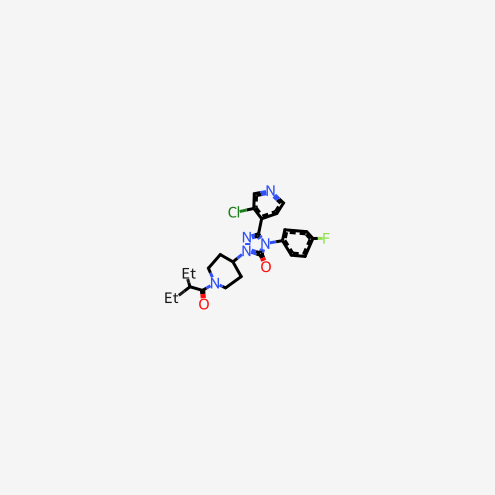 CCC(CC)C(=O)N1CCC(n2nc(-c3ccncc3Cl)n(-c3ccc(F)cc3)c2=O)CC1